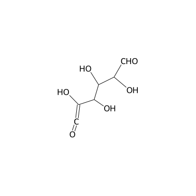 O=C=C(O)C(O)C(O)C(O)C=O